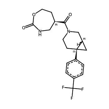 O=C1NC[C@H](C(=O)N2CC[C@@]3(c4ccc(C(F)(F)F)cc4)C[C@H]3C2)CCO1